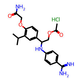 CC(=O)OCC(Nc1ccc(C(=N)N)cc1)c1ccc(OCC(N)=O)c(C(C)C)c1.Cl